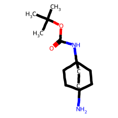 CC(C)(C)OC(=O)NC12CCC(N)(CC1)CC2